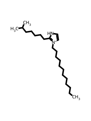 CCCCCCCCCCCC[n+]1cc[nH]c1CCCCCC(C)C